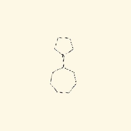 [CH]1CCN(C2CCCCCC2)C1